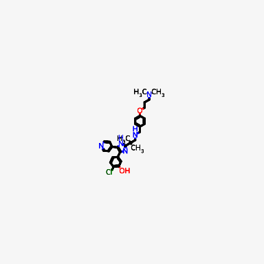 CN(C)CCCOc1ccc(CNCC(C)(C)c2nc(-c3ccc(Cl)c(O)c3)c(-c3ccncc3)[nH]2)cc1